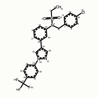 CCS(=O)(=O)N(Cc1ccc(Cl)cc1)c1cccc(-c2cnn(-c3ccc(C(F)(F)F)cc3)c2)c1